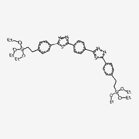 CCO[Si](CCc1ccc(-c2nnc(-c3ccc(-c4nnc(-c5ccc(CC[Si](OCC)(OCC)OCC)cc5)s4)cc3)s2)cc1)(OCC)OCC